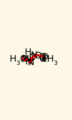 Cn1ccc(Nc2ncnc3ccc(Oc4ccc(OCCCOS(C)(=O)=O)cn4)cc23)n1